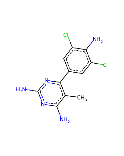 Cc1c(N)nc(N)nc1-c1cc(Cl)c(N)c(Cl)c1